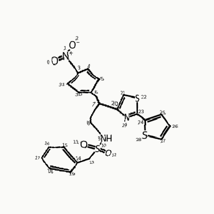 O=[N+]([O-])c1ccc(C(CNS(=O)(=O)Cc2ccccc2)c2csc(-c3cccs3)n2)cc1